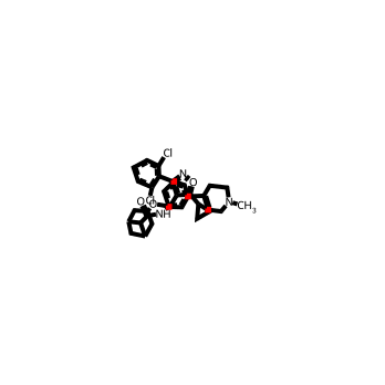 CN1CC=C(c2cccc(NC(=O)C3C4CC(OCc5c(-c6c(Cl)cccc6Cl)noc5C5CC5)CC3C4)c2)CC1